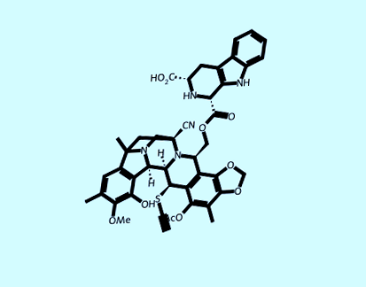 C#CS[C@@H]1c2c(OC(C)=O)c(C)c3c(c2[C@H](COC(=O)[C@@H]2N[C@H](C(=O)O)Cc4c2[nH]c2ccccc42)N2[C@@H]1[C@H]1c4c(cc(C)c(OC)c4O)C4(C)C[C@]2(C#N)CN14)OCO3